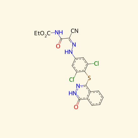 CCOC(=O)NC(=O)/C(C#N)=N\Nc1cc(Cl)c(Sc2n[nH]c(=O)c3ccccc23)c(Cl)c1